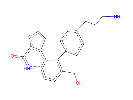 NCCCc1ccc(-c2c(CO)ccc3[nH]c(=O)c4sccc4c23)cc1